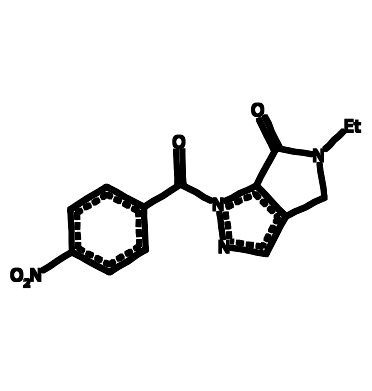 CCN1Cc2cnn(C(=O)c3ccc([N+](=O)[O-])cc3)c2C1=O